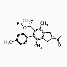 Cc1ccc(-c2c(C)c3c(c(C)c2[C@H](OC(C)(C)C)C(=O)O)CN(C(=O)I)C3)cc1